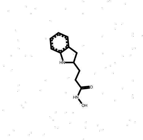 O=C(CCC1Cc2ccccc2N1)NO